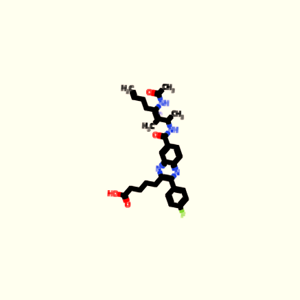 C=CCC/C(NC(C)=O)=C(\C)C(C)NC(=O)c1ccc2nc(-c3ccc(F)cc3)c(CCCCC(=O)O)nc2c1